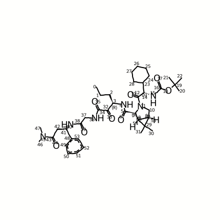 CCC[C@@H](NC(=O)[C@@H]1[C@@H]2[C@H](CN1C(=O)[C@@H](NC(=O)OC(C)(C)C)C1CCCCC1)C2(C)C)C(=O)C(=O)NCC(=O)N[C@H](CC(=O)N(C)C)c1ccccc1